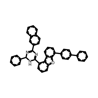 c1ccc(-c2ccc(-c3cccc4c3oc3cccc(C5=NC(c6ccc7ccccc7c6)=NC(c6ccccc6)N5)c34)cc2)cc1